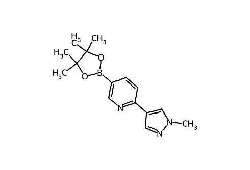 Cn1cc(-c2ccc(B3OC(C)(C)C(C)(C)O3)cn2)cn1